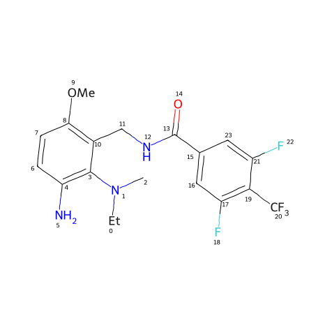 CCN(C)c1c(N)ccc(OC)c1CNC(=O)c1cc(F)c(C(F)(F)F)c(F)c1